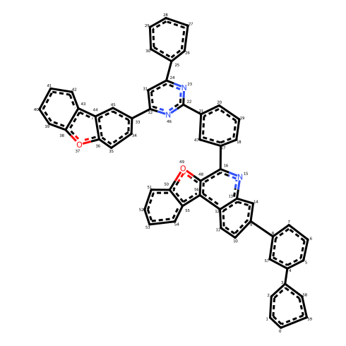 c1ccc(-c2cccc(-c3ccc4c(c3)nc(-c3cccc(-c5nc(-c6ccccc6)cc(-c6ccc7oc8ccccc8c7c6)n5)c3)c3oc5ccccc5c34)c2)cc1